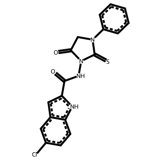 O=C(NN1C(=O)CN(c2ccccc2)C1=S)c1cc2cc(Cl)ccc2[nH]1